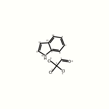 O=CC(Cl)(Cl)Cl.c1ccc2[nH]ccc2c1